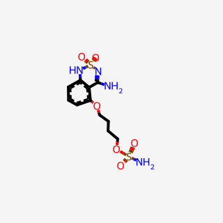 NC1=NS(=O)(=O)Nc2cccc(OCCCCOS(N)(=O)=O)c21